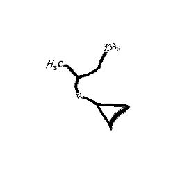 CCC(C)[N]C1CC1